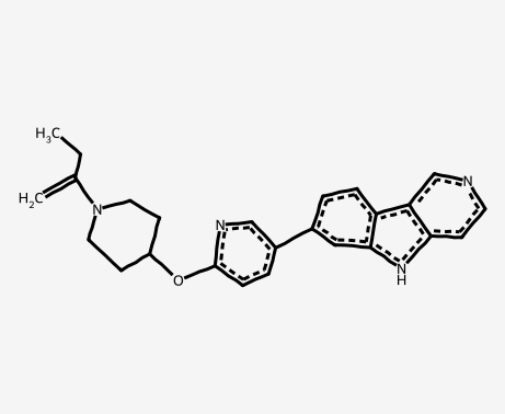 C=C(CC)N1CCC(Oc2ccc(-c3ccc4c(c3)[nH]c3ccncc34)cn2)CC1